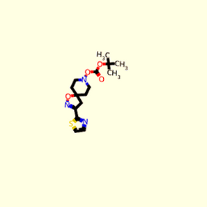 CC(C)(C)OC(=O)ON1CCC2(CC1)CC(c1nccs1)=NO2